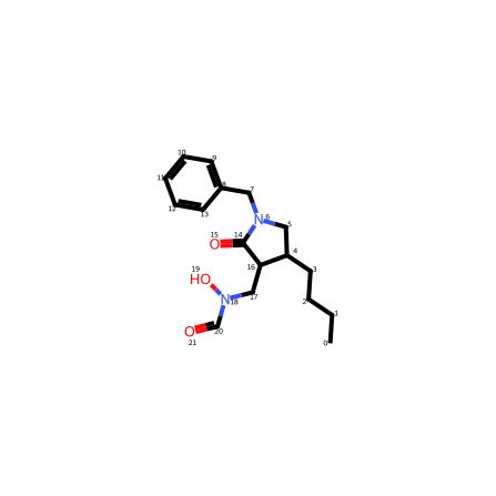 CCCCC1CN(Cc2ccccc2)C(=O)C1CN(O)C=O